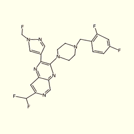 FCn1cc(-c2nc3cc(C(F)F)ncc3nc2N2CCN(Cc3ccc(F)cc3F)CC2)cn1